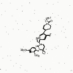 COc1ccc(CN2C(=O)CCN(c3cnn4cc(C5CCN(C(=O)OC(C)(C)C)CC5)c(F)cc34)C2=O)c(OC)c1